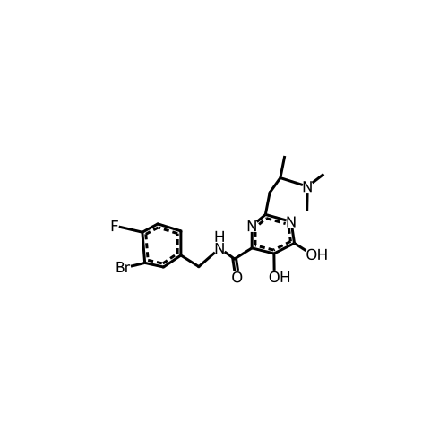 CC(Cc1nc(O)c(O)c(C(=O)NCc2ccc(F)c(Br)c2)n1)N(C)C